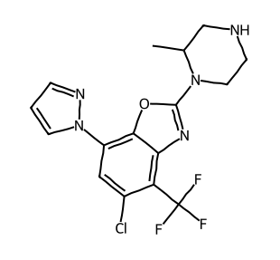 CC1CNCCN1c1nc2c(C(F)(F)F)c(Cl)cc(-n3cccn3)c2o1